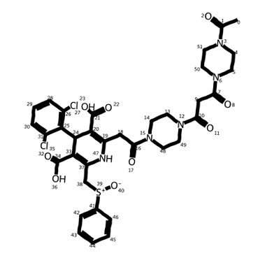 CC(=O)N1CCN(C(=O)CC(=O)N2CCN(C(=O)CC3=C(C(=O)O)C(c4c(Cl)cccc4Cl)C(C(=O)O)=C(C[S+]([O-])c4ccccc4)N3)CC2)CC1